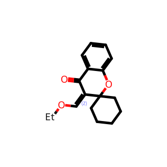 CCO/C=C1\C(=O)c2ccccc2OC12CCCCC2